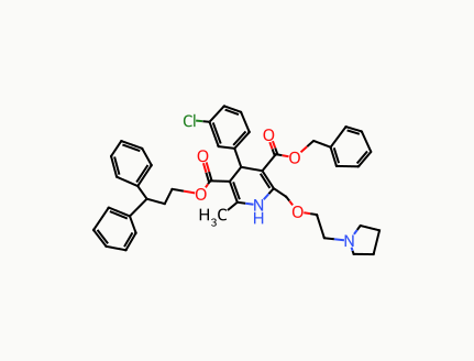 CC1=C(C(=O)OCCC(c2ccccc2)c2ccccc2)C(c2cccc(Cl)c2)C(C(=O)OCc2ccccc2)=C(COCCN2CCCC2)N1